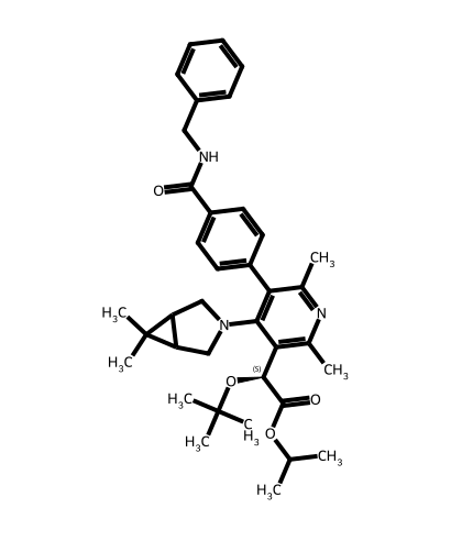 Cc1nc(C)c([C@H](OC(C)(C)C)C(=O)OC(C)C)c(N2CC3C(C2)C3(C)C)c1-c1ccc(C(=O)NCc2ccccc2)cc1